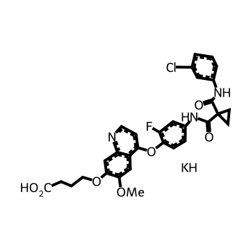 COc1cc2c(Oc3ccc(NC(=O)C4(C(=O)Nc5cccc(Cl)c5)CC4)cc3F)ccnc2cc1OCCCC(=O)O.[KH]